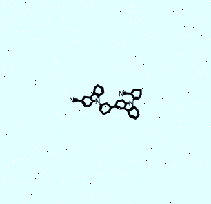 N#CC1=CCC2C(C1)C1=C(C=CCC1)N2C1=CCCC(C2=CC3C4=C(CCC=C4)N(C4=CCCCC4C#N)C3CC2)C1